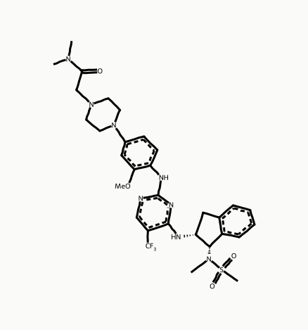 COc1cc(N2CCN(CC(=O)N(C)C)CC2)ccc1Nc1ncc(C(F)(F)F)c(N[C@@H]2Cc3ccccc3[C@@H]2N(C)S(C)(=O)=O)n1